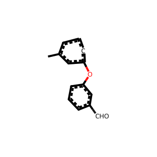 Cc1cccc(Oc2cccc(C=O)c2)c1